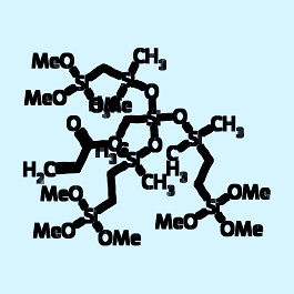 C=CC(=O)OC[Si](O[Si](C)(C)CC[Si](OC)(OC)OC)(O[Si](C)(C)CC[Si](OC)(OC)OC)O[Si](C)(C)C[Si](OC)(OC)OC